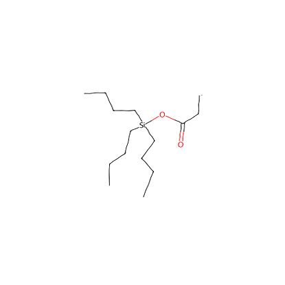 [CH2]CC(=O)O[Si](CCCC)(CCCC)CCCC